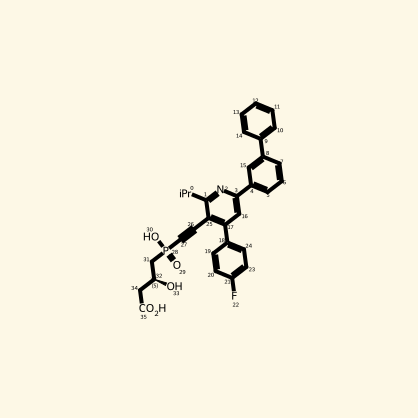 CC(C)c1nc(-c2cccc(-c3ccccc3)c2)cc(-c2ccc(F)cc2)c1C#CP(=O)(O)C[C@@H](O)CC(=O)O